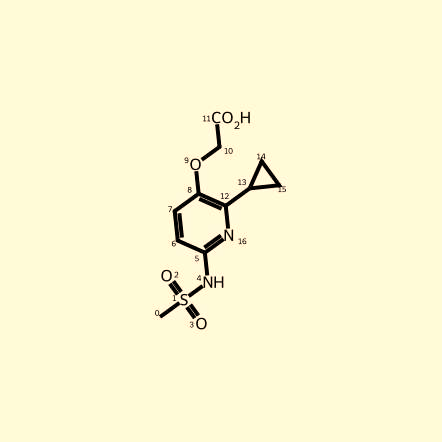 CS(=O)(=O)Nc1ccc(OCC(=O)O)c(C2CC2)n1